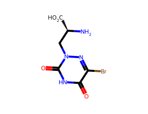 N[C@@H](Cn1nc(Br)c(=O)[nH]c1=O)C(=O)O